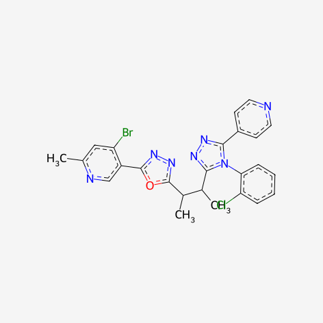 Cc1cc(Br)c(-c2nnc(C(C)C(C)c3nnc(-c4ccncc4)n3-c3ccccc3Cl)o2)cn1